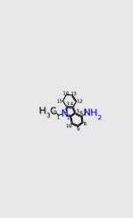 CCn1c2c(c3c(N)cccc31)C=CCC2